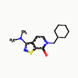 CN(C)c1nsc2c(=O)n(CC3CCCCC3)ccc12